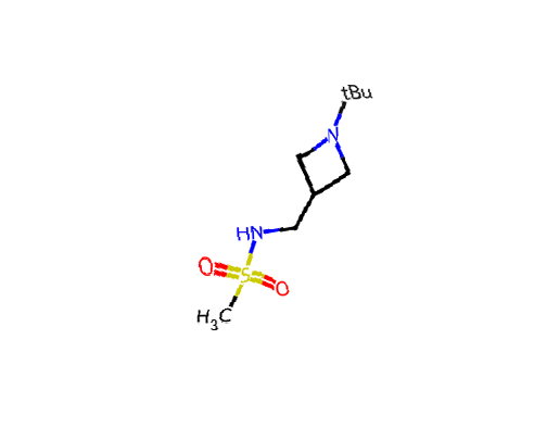 CC(C)(C)N1CC(CNS(C)(=O)=O)C1